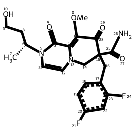 COC1=C2C(=O)N([C@H](C)CCO)C=CN2CC(Cc2ccc(F)cc2F)(C(N)=O)C1=O